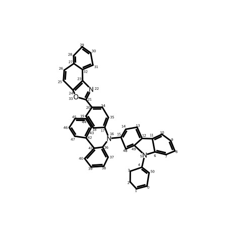 C1=CCCC(n2c3ccccc3c3ccc(N(c4ccc(-c5nc6c(ccc7ccccc76)o5)cc4)c4ccccc4-c4ccccc4)cc32)=C1